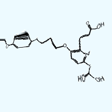 COc1ccc(CCCCOc2ccc(SC(O)O)nc2C=CC(=O)O)cc1